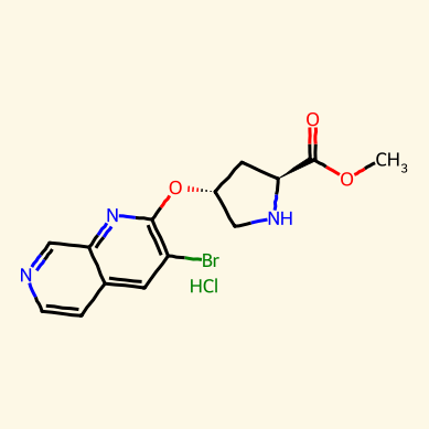 COC(=O)[C@@H]1C[C@@H](Oc2nc3cnccc3cc2Br)CN1.Cl